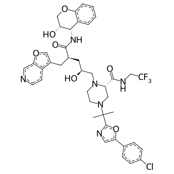 CC(C)(c1ncc(-c2ccc(Cl)cc2)o1)N1CCN(C[C@@H](O)C[C@@H](Cc2coc3cnccc23)C(=O)N[C@H]2c3ccccc3OC[C@H]2O)[C@H](C(=O)NCC(F)(F)F)C1